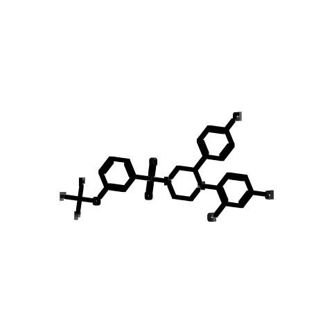 O=S(=O)(c1cccc(OC(F)(F)F)c1)N1CCN(c2ccc(Cl)cc2Cl)C(c2ccc(Cl)cc2)C1